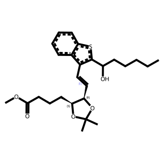 CCCCCC(O)c1sc2ccccc2c1/C=C/[C@H]1OC(C)(C)O[C@H]1CCCC(=O)OC